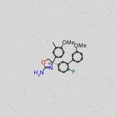 COc1cccc(-c2cc([C@@]3(c4ccc(OC)c(C)c4)COC(N)=N3)ccc2F)c1